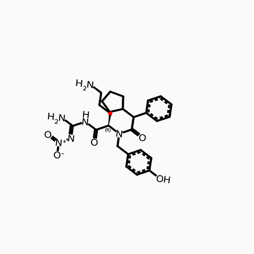 NCCC[C@H](C(=O)NC(N)=N[N+](=O)[O-])N(Cc1ccc(O)cc1)C(=O)C(c1ccccc1)C1CCCC1